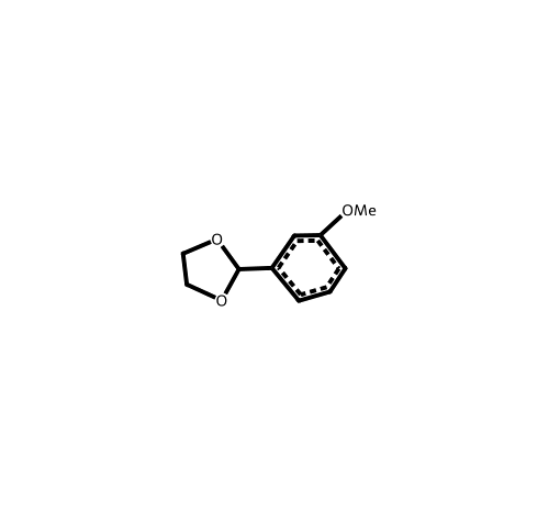 COc1cccc(C2OCCO2)c1